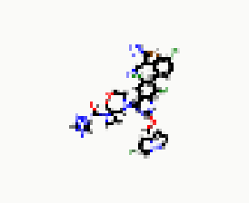 N#Cc1c(N)sc2c(F)ccc(-c3c(Cl)cc4c(N5CCOCC6(CCN6C(=O)n6cncn6)C5)nc(OC[C@@]56CCCN5C[C@H](F)C6)nc4c3F)c12